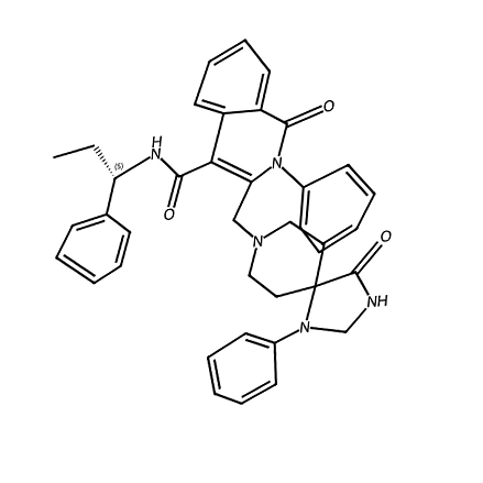 CC[C@H](NC(=O)c1c(CN2CCC3(CC2)C(=O)NCN3c2ccccc2)n(-c2ccccc2)c(=O)c2ccccc12)c1ccccc1